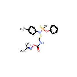 CCP(=S)(Oc1ccccc1)N(SCNC(=O)ON=C(C)SC)c1ccc([N+](=O)[O-])cc1